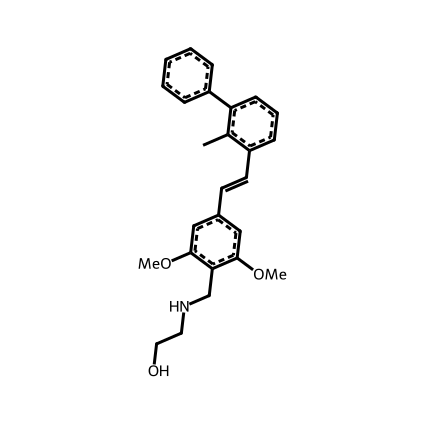 COc1cc(C=Cc2cccc(-c3ccccc3)c2C)cc(OC)c1CNCCO